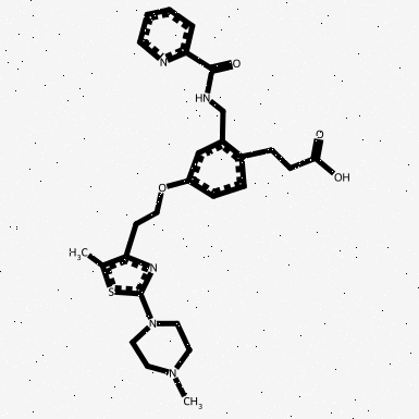 Cc1sc(N2CCN(C)CC2)nc1CCOc1ccc(CCC(=O)O)c(CNC(=O)c2ccccn2)c1